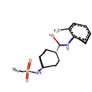 CC(C)(C)S(=O)(=O)N[C@H]1CC[C@H](C(O)Nc2ccccc2C(F)(F)F)CC1